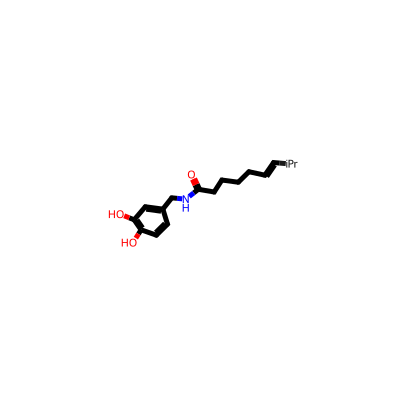 CC(C)C=CCCCCC(=O)NCc1ccc(O)c(O)c1